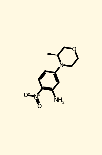 C[C@H]1COCCN1c1ccc([N+](=O)[O-])c(N)c1